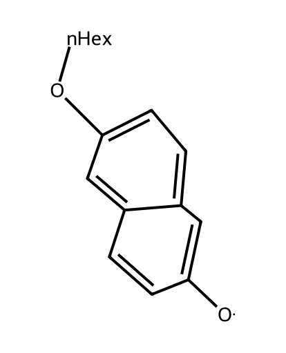 CCCCCCOc1ccc2cc([O])ccc2c1